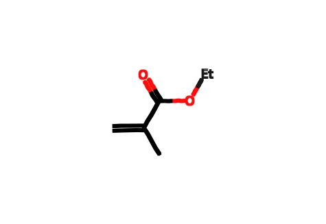 [CH2]COC(=O)C(=C)C